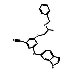 CC(COc1cc(C#N)nc(Nc2ccc3cc[nH]c3c2)c1)OCc1ccccc1